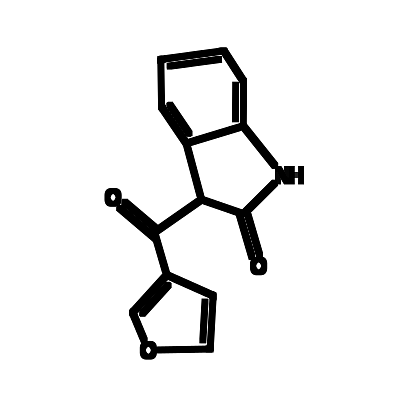 O=C1Nc2ccccc2C1C(=O)c1ccoc1